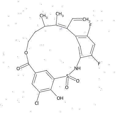 C=C/C1=C(\C)C(C)CCOC(=O)c2cc(Cl)c(O)c(c2)S(=O)(=O)Nc2cc1c(F)cc2F